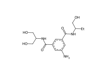 CCC(CO)NC(=O)c1cc(N)cc(C(=O)NC(CO)CO)c1